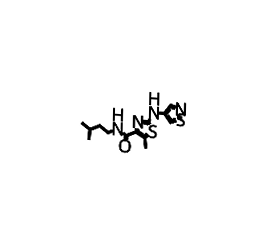 Cc1sc(Nc2cnsc2)nc1C(=O)NCCC(C)C